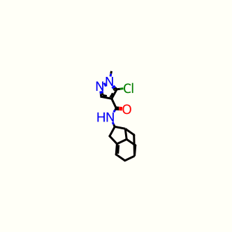 Cn1ncc(C(=O)NC2CC3=CCC4CC3C2C4)c1Cl